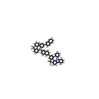 CC1(C)c2ccccc2-c2c(N(c3cccc(-c4ccc5ccccc5c4)c3)c3ccc4cc(-c5cc6c7c(c5)C(C)(C)c5ccc8c9ccccc9n(c8c5-7)-c5ccccc5-6)ccc4c3)cccc21